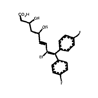 CCC(/C=C/C(O)CC(O)CC(=O)O)=C(c1ccc(F)cc1)c1ccc(F)cc1